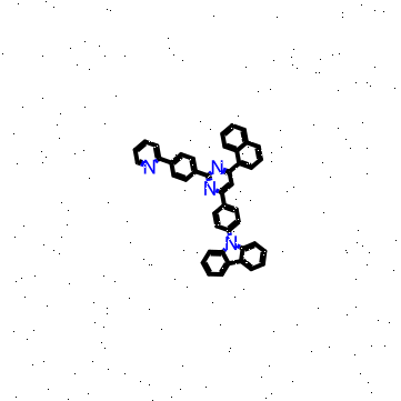 c1ccc(-c2ccc(-c3nc(-c4ccc(-n5c6ccccc6c6ccccc65)cc4)cc(-c4cccc5ccccc45)n3)cc2)nc1